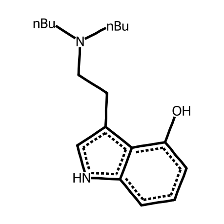 CCCCN(CCCC)CCc1c[nH]c2cccc(O)c12